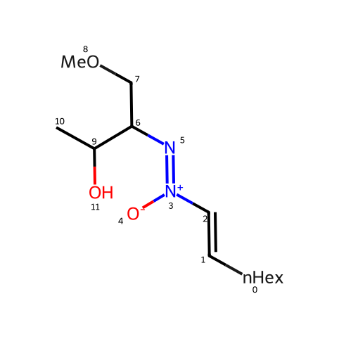 CCCCCC/C=C/[N+]([O-])=N/C(COC)C(C)O